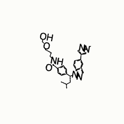 CC(C)CC(c1ccc(C(=O)NCCCOCO)cc1)n1ncc2cc(-c3cnn(C)c3)ccc21